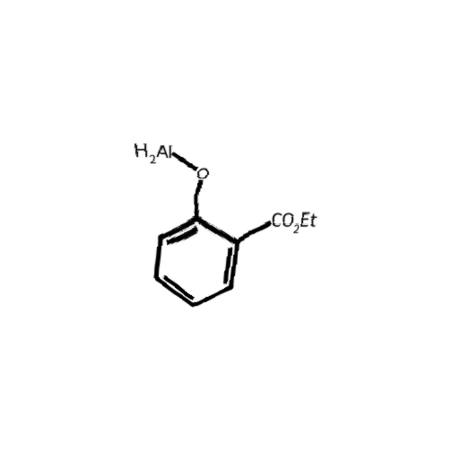 CCOC(=O)c1ccccc1[O][AlH2]